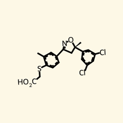 Cc1cc(C2=NO[C@](C)(c3cc(Cl)cc(Cl)c3)C2)ccc1SCC(=O)O